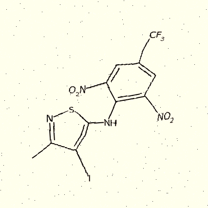 Cc1nsc(Nc2c([N+](=O)[O-])cc(C(F)(F)F)cc2[N+](=O)[O-])c1I